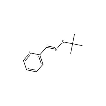 CC(C)(C)SN=Cc1ccccn1